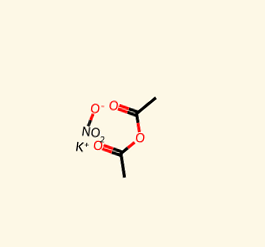 CC(=O)OC(C)=O.O=[N+]([O-])[O-].[K+]